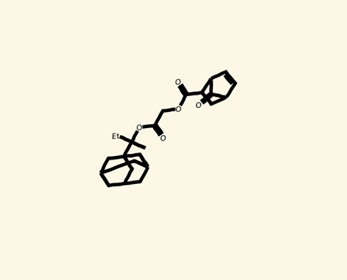 CCC(C)(OC(=O)COC(=O)C1CC2C=CC1C2=O)C12CC3CC(CC(C3)C1)C2